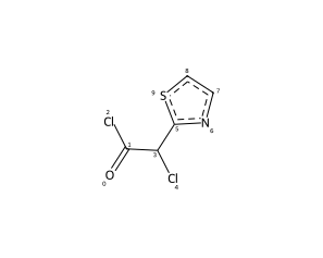 O=C(Cl)C(Cl)c1nccs1